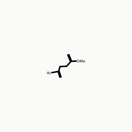 C=C(CCC(=C)C(C)=O)OC